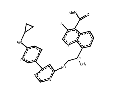 CNC(=O)c1c(F)cnc2c([C@H](C)CNc3cc(-c4ccc(NC5CC5)nc4)ncn3)cccc12